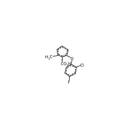 Cc1cccc(Oc2ccc(F)cc2Cl)c1C(=O)O